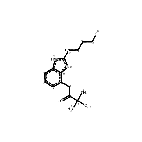 CC(C)(C)C(=O)Cc1cccc2[nH]c(NCCCCl)nc12